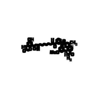 COc1cccc(Nc2c(C(N)=O)cnc3c2=CC(S(=O)(=O)c2cccc(C(=O)NCCCCCCNC[C@H](O)c4cc(O)cc5c4OCC(=O)N5)c2)CC=3C)c1